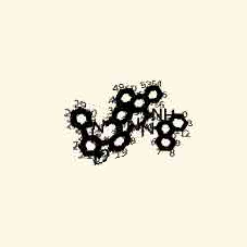 C1=Cc2c3c(c4ccccc4c2CC1)N=C(n1c2ccc4oc5ccc6c7ccccc7n7c8cccc1c8c2c4c5c67)C(c1cc2ccccc2c2ccccc12)N3